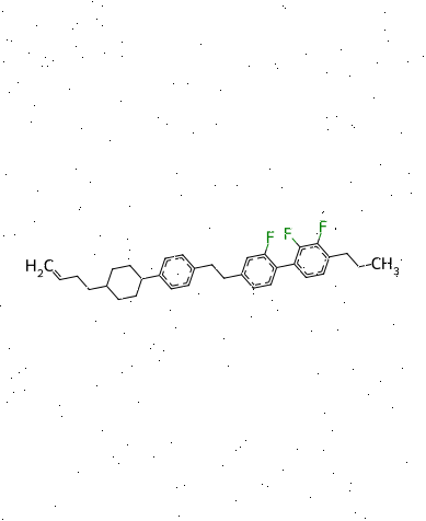 C=CCCC1CCC(c2ccc(CCc3ccc(-c4ccc(CCC)c(F)c4F)c(F)c3)cc2)CC1